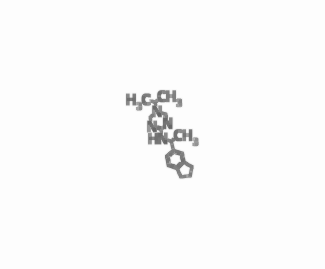 CC(C)N1C=NC(N[C@@H](C)c2ccc3c(c2)CCC3)=NC1